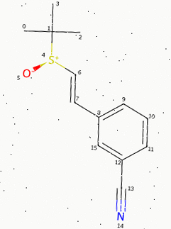 CC(C)(C)[S@+]([O-])/C=C/c1cccc(C#N)c1